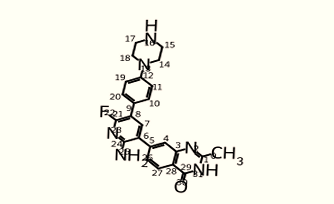 Cc1nc2cc(-c3cc(-c4ccc(N5CCNCC5)cc4)c(F)nc3N)ccc2c(=O)[nH]1